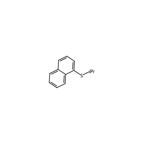 [CH2]C(C)Sc1cccc2ccccc12